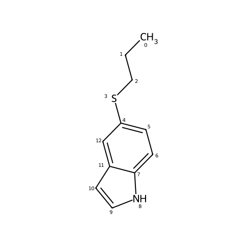 CCCSc1ccc2[nH]ccc2c1